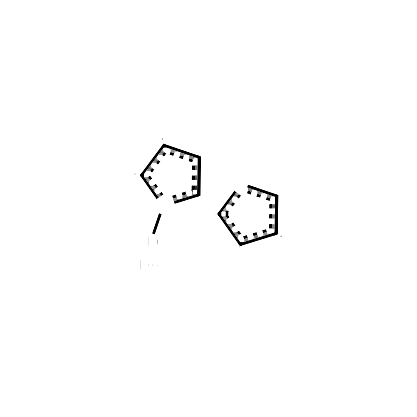 CC[c-]1cccc1.[Fe+2].c1cc[cH-]c1